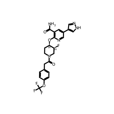 NC(=O)c1cc(-c2cn[nH]c2)cnc1O[C@@H]1CCN(C(=O)Cc2ccc(OC(F)(F)F)cc2)C[C@@H]1F